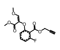 C#CCOC(=O)c1c(F)cccc1OC(=COC)C(=O)OC